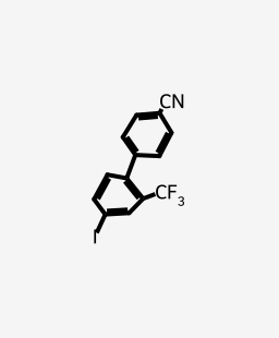 N#Cc1ccc(-c2ccc(I)cc2C(F)(F)F)cc1